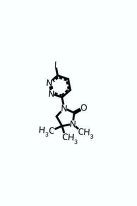 CN1C(=O)N(c2ccc(I)nn2)CC1(C)C